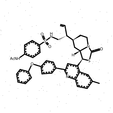 C=C[C@@H](CNS(=O)(=O)c1ccc(NC(C)=O)cc1)[C@H]1CCN2C(=O)S[C@@H](c3cc(-c4ccc(Oc5ccccc5)cc4)nc4ccc(C)cc34)[C@@H]2C1